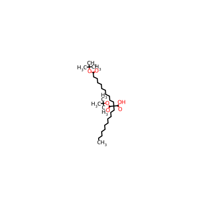 CCCCCCCCCCCC(CCCCCCCCCCC(=O)OC(C)(C)C)(C(=O)O)C(=O)OC(C)(C)C